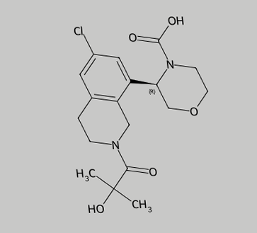 CC(C)(O)C(=O)N1CCc2cc(Cl)cc([C@@H]3COCCN3C(=O)O)c2C1